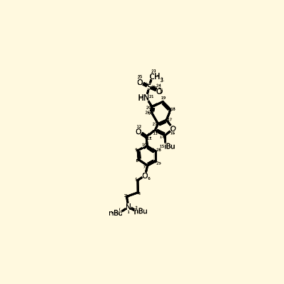 CCCCN(CCCC)CCCOc1ccc(C(=O)c2c(C(C)CC)oc3ccc(NS(C)(=O)=O)cc23)cc1